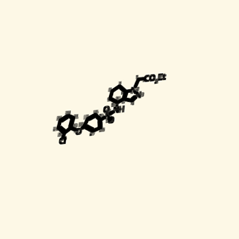 CCOC(=O)Cn1ncc2c1CCC[C@H]2NS(=O)(=O)c1ccc(Oc2ccccc2Cl)cc1